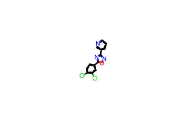 Clc1ccc(-c2nc(-c3cccnc3)no2)cc1Cl